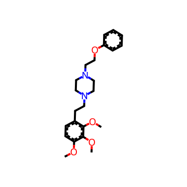 COc1ccc(CCN2CCN(CCOc3ccccc3)CC2)c(OC)c1OC